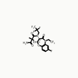 CC[C@H]1Oc2ccc(F)cc2N(CC(F)(F)F)C(=O)[C@H]1N(CC(F)(F)C(F)(F)F)C(=O)C(C)(C)C(N)=O